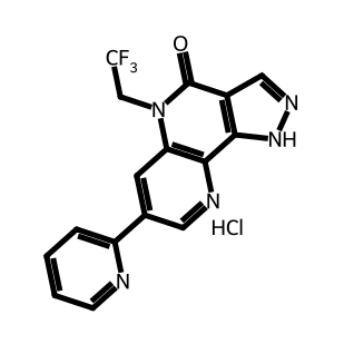 Cl.O=c1c2cn[nH]c2c2ncc(-c3ccccn3)cc2n1CC(F)(F)F